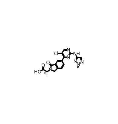 C[C@H](C(=O)O)N1Cc2ccc(-c3nc(Nc4cnn(C)n4)ncc3Cl)cc2C1=O